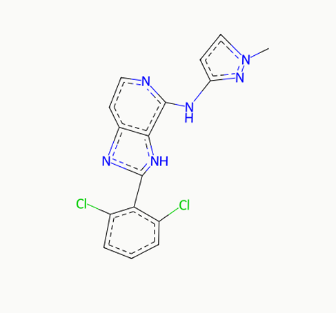 Cn1ccc(Nc2nccc3nc(-c4c(Cl)cccc4Cl)[nH]c23)n1